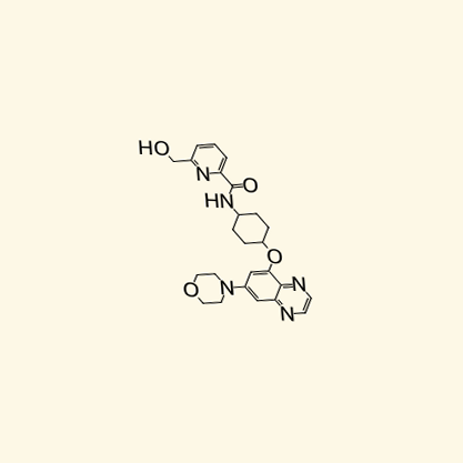 O=C(NC1CCC(Oc2cc(N3CCOCC3)cc3nccnc23)CC1)c1cccc(CO)n1